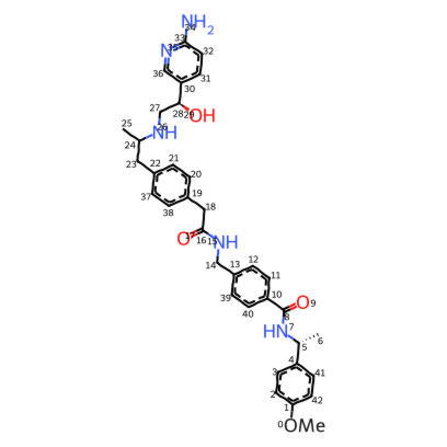 COc1ccc([C@@H](C)NC(=O)c2ccc(CNC(=O)Cc3ccc(CC(C)NC[C@H](O)c4ccc(N)nc4)cc3)cc2)cc1